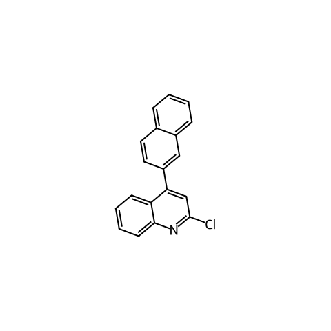 Clc1cc(-c2ccc3ccccc3c2)c2ccccc2n1